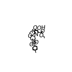 CCOC(=O)c1nc2n(c(=O)c1O)CCOC21CCN(S(=O)(=O)c2ccc(C)cc2)CC1